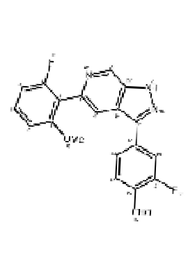 COc1cccc(F)c1-c1cc2c(-c3ccc(C=O)c(F)c3)n[nH]c2cn1